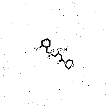 O=C(O)C(CC(=O)N1CCOCC1)CS(=O)(=O)Cc1ccccc1C(F)(F)F